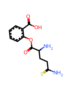 NC(=S)CCC(N)C(=O)Oc1ccccc1C(=O)O